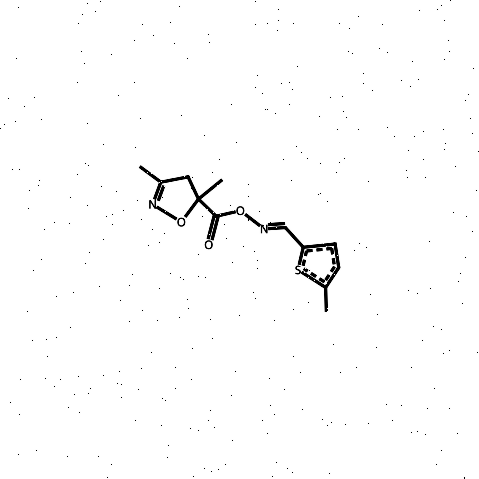 CC1=NOC(C)(C(=O)O/N=C/c2ccc(C)s2)C1